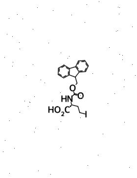 O=C(N[C@@H](CCI)C(=O)O)OCC1c2ccccc2-c2ccccc21